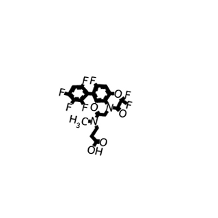 CN(CCC(=O)O)C(=O)CN1C(=O)C(F)(F)Oc2cc(F)c(-c3c(F)cc(F)c(F)c3F)cc21